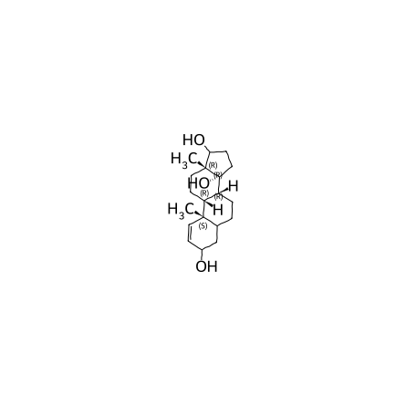 C[C@]12C=CC(O)CC1CC[C@@H]1[C@H]2CC[C@]2(C)C(O)CC[C@@]12O